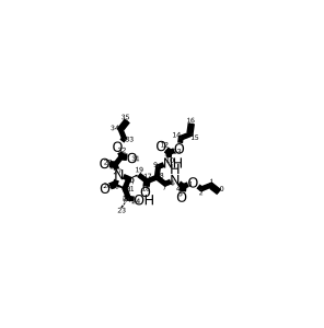 C=CCOC(=O)NCC(CNC(=O)OCC=C)C(=O)C[C@@H]1[C@@H]([C@@H](C)O)C(=O)N1C(=O)C(=O)OCC=C